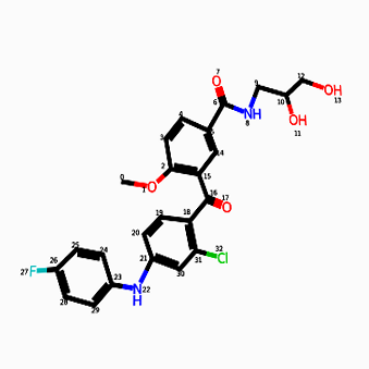 COc1ccc(C(=O)NCC(O)CO)cc1C(=O)c1ccc(Nc2ccc(F)cc2)cc1Cl